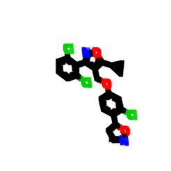 Clc1cc(OCc2c(-c3c(Cl)cccc3Cl)noc2C2CC2)ccc1C1C[C]=NO1